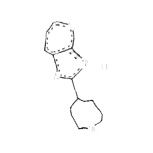 Cl.c1cnc2[nH]c(C3CCNCC3)nc2c1